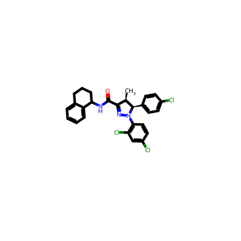 C[C@@H]1C(C(=O)NC2CCCc3ccccc32)=NN(c2ccc(Cl)cc2Cl)[C@@H]1c1ccc(Cl)cc1